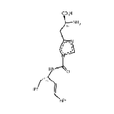 CCCC=C[C@H](CC(C)C)NC(=O)n1cnc(C[C@H](N)C(=O)O)c1